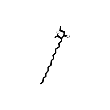 CCCCCCCCCCCCCCCCc1c(C)oc(C)cc1=O